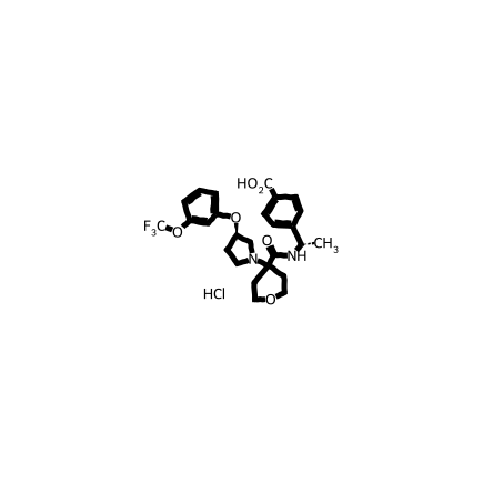 C[C@H](NC(=O)C1(N2CC[C@@H](Oc3cccc(OC(F)(F)F)c3)C2)CCOCC1)c1ccc(C(=O)O)cc1.Cl